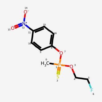 CP(=S)(OCCF)Oc1ccc([N+](=O)[O-])cc1